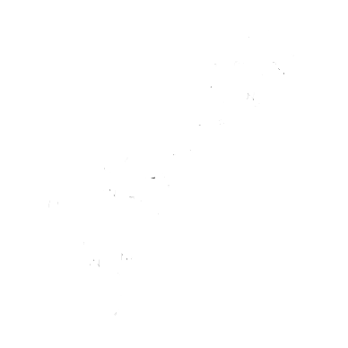 O=C(O)C(c1cnc(C2CC2)nc1C1CC1)N1CC[C@@H](OCCCCc2ccc3c(n2)NCCC3)C1